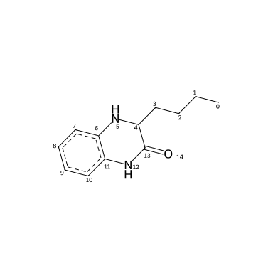 CCCCC1Nc2ccccc2NC1=O